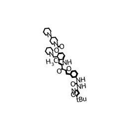 CC(C)(C)c1cc(NC(=O)Nc2ccc3oc(C(=O)C4=CC5(C)C(=CC=C(OC(=O)N6CCC(N7CCCCC7)CC6)C5CN5CCCCC5)N4)cc3c2)no1